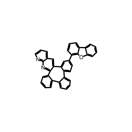 c1ccc2c(c1)-c1ccc(-c3cccc4c3oc3ccccc34)cc1-c1cc3cccnc3nc1-c1ccccc1-2